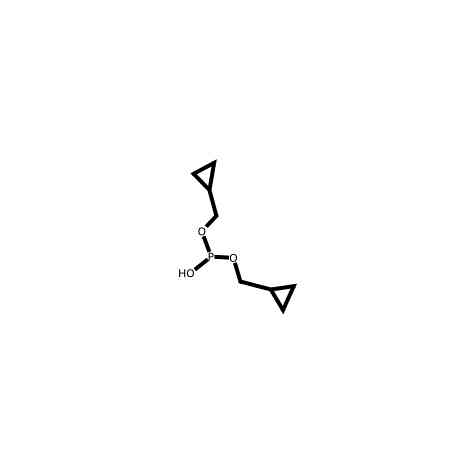 OP(OCC1CC1)OCC1CC1